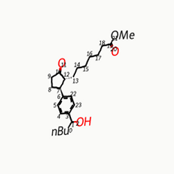 CCCCC(O)c1ccc([C@H]2CCC(=O)[C@@H]2CCCCCCC(=O)OC)cc1